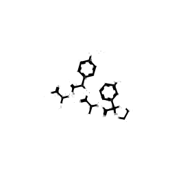 COc1ccc(C(NC(=O)C(C)NC(=O)C2(c3cccc(Cl)c3)OCCO2)C(=O)NC(C(=O)C(F)(F)F)C(C)C)cc1